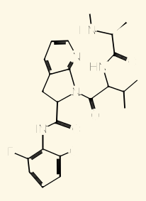 CN[C@@H](C)C(=O)NC(C(=O)N1c2ncccc2CC1C(=O)Nc1c(F)cccc1Cl)C(C)C